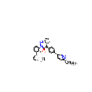 COc1ccc(-c2ccc([C@H](C(=O)Nc3cccc(CCC(=O)O)c3C)C3CCCC3)cc2)cn1